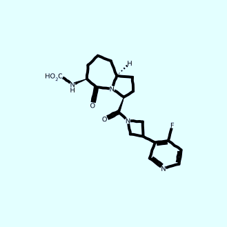 O=C(O)N[C@H]1CCC[C@H]2CC[C@@H](C(=O)N3CC(c4cnccc4F)C3)N2C1=O